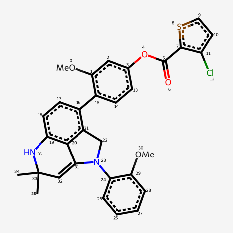 COc1cc(OC(=O)c2sccc2Cl)ccc1-c1ccc2c3c1CN(c1ccccc1OC)C3=CC(C)(C)N2